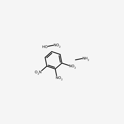 CN.O=[N+]([O-])O.O=[N+]([O-])c1cccc([N+](=O)[O-])c1[N+](=O)[O-]